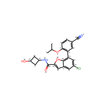 CC(C)Oc1ccc(C#N)cc1-c1cc(Cl)cc2cc(C(=O)NC3CC(O)C3)oc12